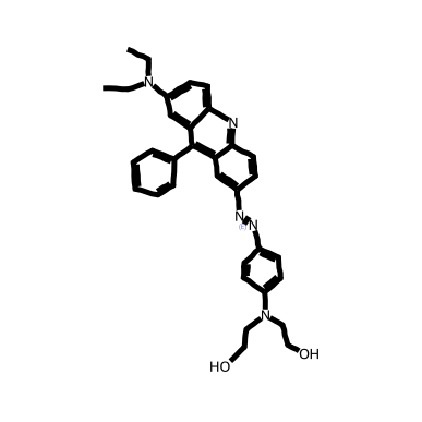 CCN(CC)c1ccc2nc3ccc(/N=N/c4ccc(N(CCO)CCO)cc4)cc3c(-c3ccccc3)c2c1